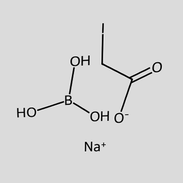 O=C([O-])CI.OB(O)O.[Na+]